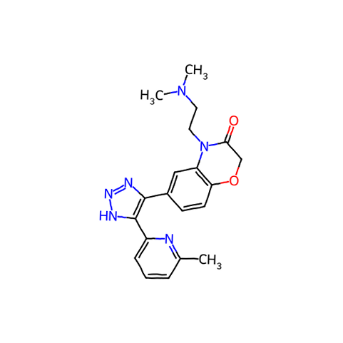 Cc1cccc(-c2[nH]nnc2-c2ccc3c(c2)N(CCN(C)C)C(=O)CO3)n1